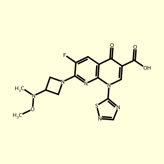 CON(C)C1CN(c2nc3c(cc2F)c(=O)c(C(=O)O)cn3-c2ncns2)C1